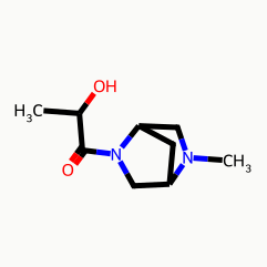 CC(O)C(=O)N1CC2CC1CN2C